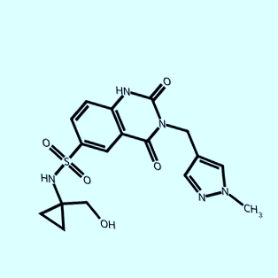 Cn1cc(Cn2c(=O)[nH]c3ccc(S(=O)(=O)NC4(CO)CC4)cc3c2=O)cn1